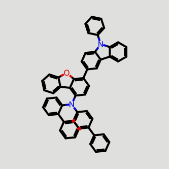 c1ccc(-c2ccc(N(c3ccccc3-c3ccccc3)c3ccc(-c4ccc5c(c4)c4ccccc4n5-c4ccccc4)c4oc5ccccc5c34)cc2)cc1